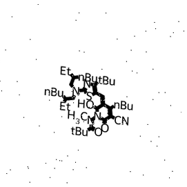 CCCCC1=C(C#N)C(=O)N(N(C)C(=O)C(C)(C)C)C(O)/C1=C\c1sc(N(CC(CC)CCCC)CC(CC)CCCC)nc1C(C)(C)C